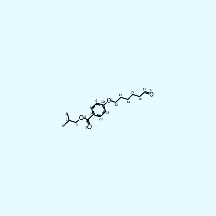 CC(C)COC(=O)c1ccc(OCCCCC[C]=O)cc1